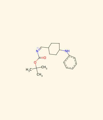 CC(C)(C)OC(=O)/N=C\C1CCC(Nc2ccccc2)CC1